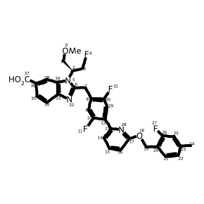 COC[C@@H](CF)n1c(Cc2cc(F)c(-c3cccc(OCc4ccc(C)cc4F)n3)cc2F)nc2ccc(C(=O)O)cc21